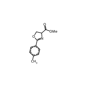 COC(=O)C1COC(c2ccc(C)cc2)=N1